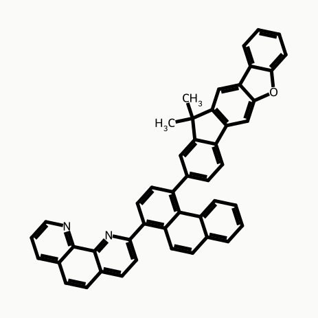 CC1(C)c2cc(-c3ccc(-c4ccc5ccc6cccnc6c5n4)c4ccc5ccccc5c34)ccc2-c2cc3oc4ccccc4c3cc21